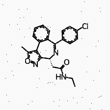 CCNC(=O)C[C@H]1N=C(c2ccc(Cl)cc2)c2ccccc2-c2c1noc2C